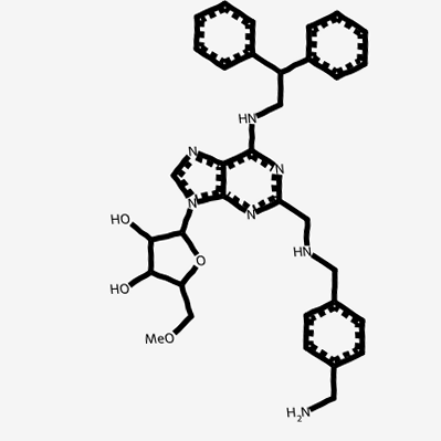 COCC1OC(n2cnc3c(NCC(c4ccccc4)c4ccccc4)nc(CNCc4ccc(CN)cc4)nc32)C(O)C1O